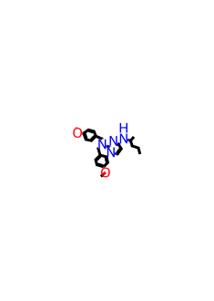 CCCC(C)Nc1ccnc(N(Cc2ccc(OC)cc2)Cc2ccc(OC)cc2)n1